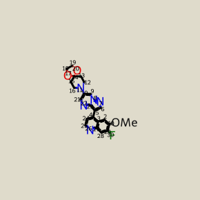 COc1cc2c(-c3cnn4cc(N5CCC6(CC5)OCCO6)cnc34)ccnc2cc1F